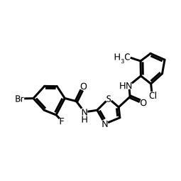 Cc1cccc(Cl)c1NC(=O)c1cnc(NC(=O)c2ccc(Br)cc2F)s1